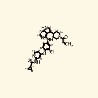 C=CC(=O)N1CCC(c2c[nH]c3ncnc(Nc4ccc(Oc5ccnc(NC(=O)C6CC6)c5)c(Cl)c4)c23)CC1